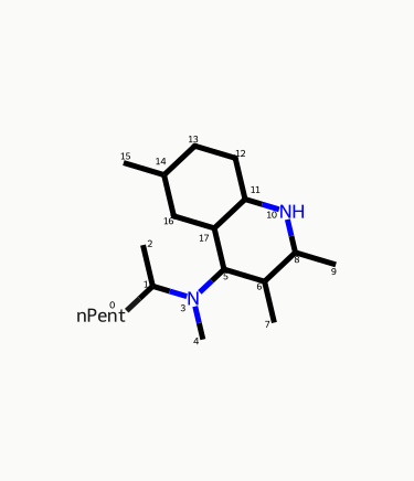 CCCCCC(C)N(C)C1C(C)C(C)NC2CCC(C)CC21